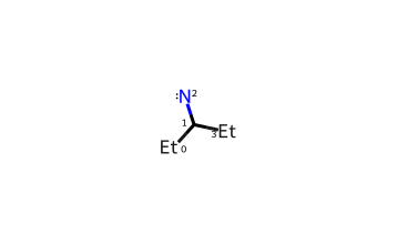 CCC([N])CC